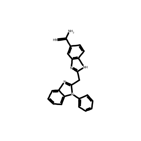 N=C(N)c1ccc2[nH]c(Cc3nc4ccccc4n3-c3ccccc3)nc2c1